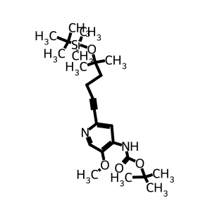 COc1cnc(C#CCCC(C)(C)O[Si](C)(C)C(C)(C)C)cc1NC(=O)OC(C)(C)C